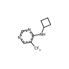 FC(F)(F)c1cncnc1NC1CCC1